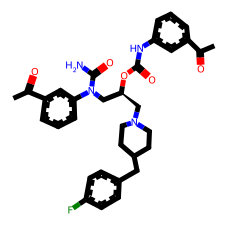 CC(=O)c1cccc(NC(=O)O[C@@H](CN2CCC(Cc3ccc(F)cc3)CC2)CN(C(N)=O)c2cccc(C(C)=O)c2)c1